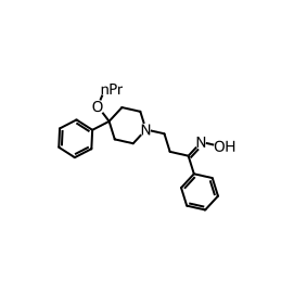 CCCOC1(c2ccccc2)CCN(CCC(=NO)c2ccccc2)CC1